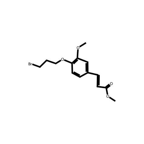 COC(=O)C=Cc1ccc(OCCCBr)c(OC)c1